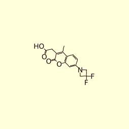 Cc1c(CC(=O)O)c(=O)oc2cc(N3CC(F)(F)C3)ccc12